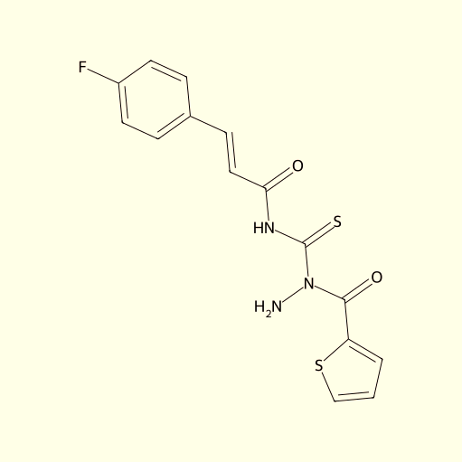 NN(C(=O)c1cccs1)C(=S)NC(=O)C=Cc1ccc(F)cc1